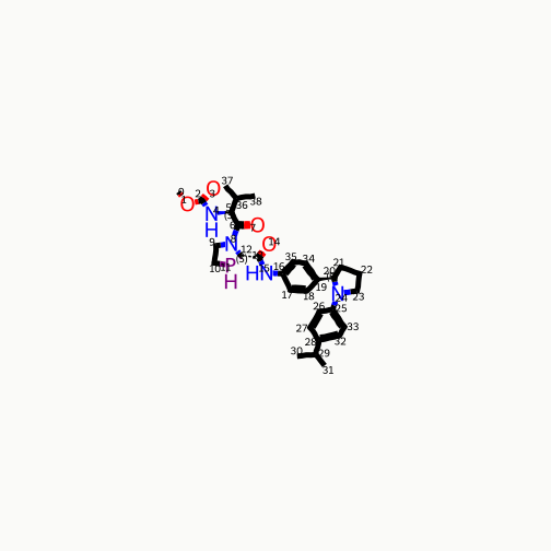 COC(=O)N[C@H](C(=O)N1CCP[C@H]1C(=O)Nc1ccc([C@H]2CCCN2c2ccc(C(C)C)cc2)cc1)C(C)C